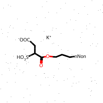 CCCCCCCCCCCCOC(=O)C(CC(=O)[O-])S(=O)(=O)O.[K+]